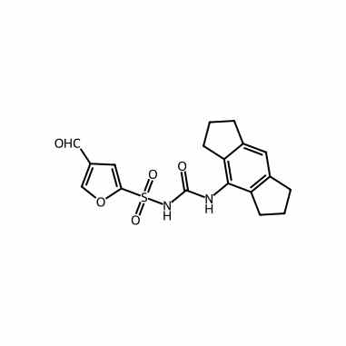 O=Cc1coc(S(=O)(=O)NC(=O)Nc2c3c(cc4c2CCC4)CCC3)c1